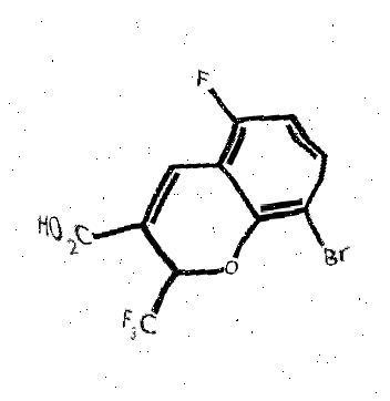 O=C(O)C1=Cc2c(F)ccc(Br)c2OC1C(F)(F)F